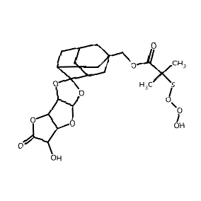 CC(C)(SOOO)C(=O)OCC12CC3CC(C1)C1(OC4OC5C(O)C(=O)OC5C4O1)C(C3)C2